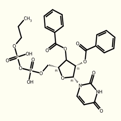 CCCOP(=O)(O)OP(=O)(O)OC[C@H]1O[C@@H](n2ccc(=O)[nH]c2=O)[C@@H](OC(=O)c2ccccc2)C1OC(=O)c1ccccc1